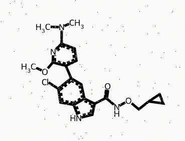 COc1nc(N(C)C)ccc1-c1cc2c(C(=O)NOCC3CC3)c[nH]c2cc1Cl